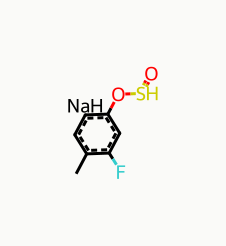 Cc1ccc(O[SH]=O)cc1F.[NaH]